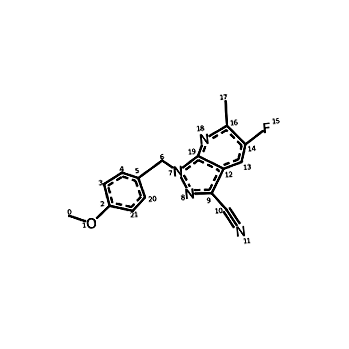 COc1ccc(Cn2nc(C#N)c3cc(F)c(C)nc32)cc1